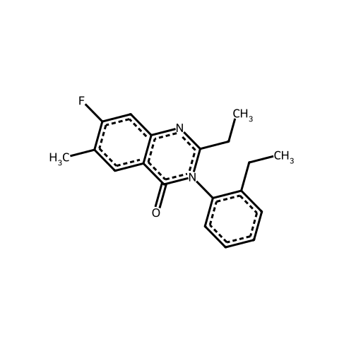 CCc1ccccc1-n1c(CC)nc2cc(F)c(C)cc2c1=O